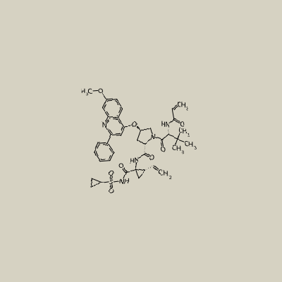 C=CC(=O)N[C@@H](C(=O)N1C[C@H](Oc2cc(-c3ccccc3)nc3cc(OC)ccc23)C[C@H]1C(=O)N[C@]1(C(=O)NS(=O)(=O)C2CC2)C[C@H]1C=C)C(C)(C)C